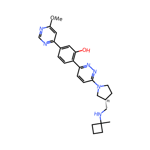 COc1cc(-c2ccc(-c3ccc(N4CC[C@H](CNC5(C)CCC5)C4)nn3)c(O)c2)ncn1